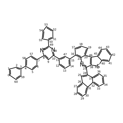 c1ccc(-c2ccc(-c3cc(-c4cccc(-c5cccc6c5nc(-c5cc7ccccc7c7ccccc57)c5sc7ccccc7c56)c4)nc(-c4ccccc4)n3)cc2)cc1